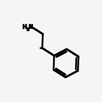 NC[CH]c1ccccc1